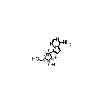 C[C@]1(c2ccc3c(N)ncnn23)O[C@H](CO)[C@@H](O)[C@H]1F